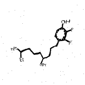 CCCC(CC)CCCC(CCC)CCCc1ccc(O)c(F)c1F